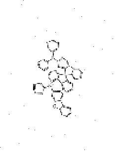 c1ccc(N(c2ccccc2)c2ccc3c(c2)C2(c4ccccc4-3)c3ccccc3-c3c(N(c4ccccc4)c4ccc5c(c4)oc4ccccc45)cccc32)cc1